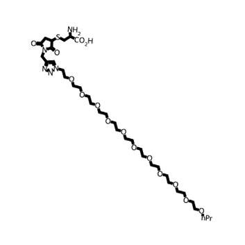 CCCOCCOCCOCCOCCOCCOCCOCCOCCOCCOCCOCCn1cc(CN2C(=O)CC(SCC(N)C(=O)O)C2=O)nn1